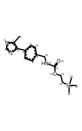 Cc1ncsc1-c1ccc(CNC(=O)OCC[Si](C)(C)C)cc1